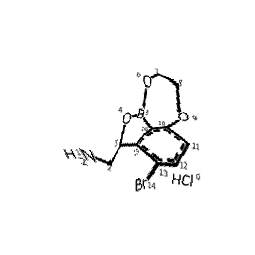 Cl.NC[C@H]1OB2OCCOc3ccc(Br)c1c32